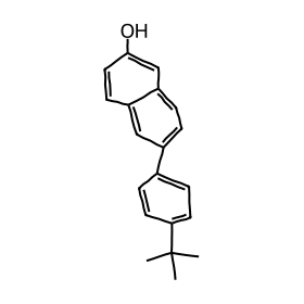 CC(C)(C)c1ccc(-c2ccc3cc(O)ccc3c2)cc1